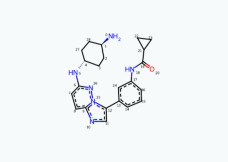 N[C@H]1CC[C@H](Nc2ccc3ncc(-c4cccc(NC(=O)C5CC5)c4)n3n2)CC1